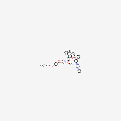 CCCCCCOc1ccc(C(=O)OC2CCN(c3cc4c5c(c6c(c4cc3OC)OC(c3ccccc3)(c3ccc(N4CCN(c7ccccc7)CC4)cc3)C=C6)C(C)(C)c3ccccc3-5)CC2)cc1